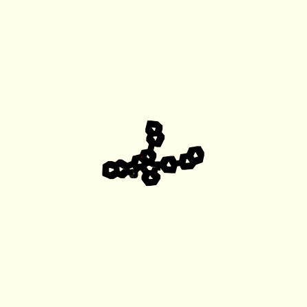 c1cc(-c2ccc3ccccc3c2)cc(N(c2ccc(-c3ccc4ccccc4c3)cc2)c2ccccc2-c2cccc3c2oc2cc4ccccc4cc23)c1